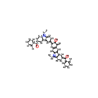 CCn1c2ccc(C(=O)c3ccccc3C)cc2c2cc(C(C)C(=O)C(C)c3ccc4c(c3)c3cc(C(=O)c5ccccc5C)ccc3n4CC)ccc21